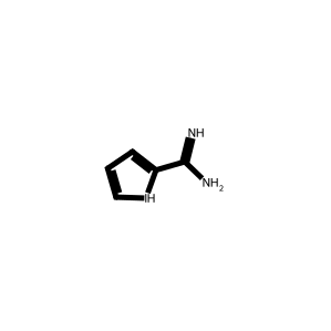 N=C(N)C1=CC=C[IH]1